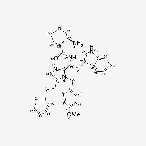 COc1ccc(Cn2c(CCc3ccccc3)nnc2[C@@H](Cc2c[nH]c3ccccc23)NC(=O)C2CCCC[C@H]2N)cc1